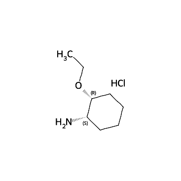 CCO[C@@H]1CCCC[C@@H]1N.Cl